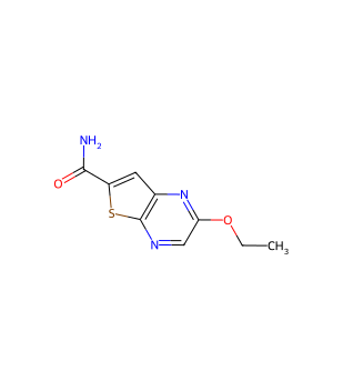 CCOc1cnc2sc(C(N)=O)cc2n1